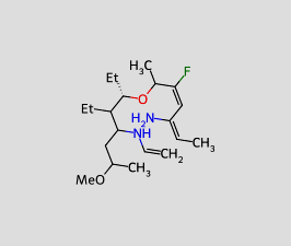 C=CNC(CC(C)OC)C(CC)[C@H](CC)OC(C)/C(F)=C\C(N)=C/C